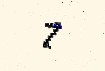 CCCCCCCCCC=CC1=NCCN1CC